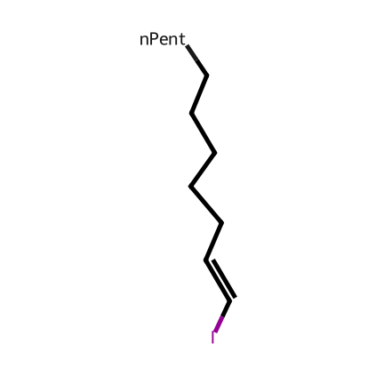 CCCCCCCCCCC=CI